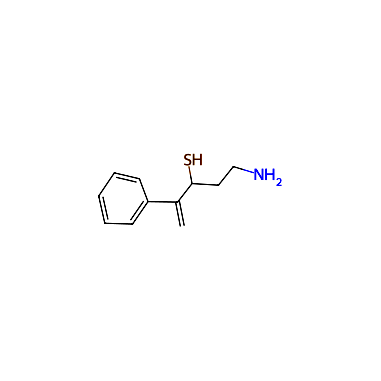 C=C(c1ccccc1)C(S)CCN